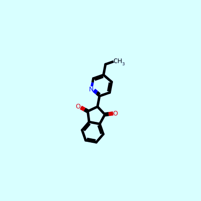 CCc1ccc(C2C(=O)c3ccccc3C2=O)nc1